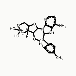 COC1C(N2c3ncnc(N)c3NC2Sc2ccc(C)cc2)OC2CO[PH](O)(O)O[C@H]21